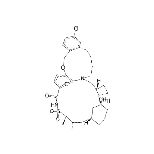 C[C@@H]1[C@@H](C)C[C@H]2CCC[C@](O)(C2)[C@@H]2CC[C@H]2CN2CCCCc3cc(Cl)ccc3COc3ccc(cc32)C(=O)NS1(=O)=O